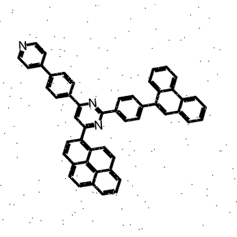 c1ccc2c(c1)cc(-c1ccc(-c3nc(-c4ccc(-c5ccncc5)cc4)cc(-c4ccc5ccc6cccc7ccc4c5c67)n3)cc1)c1ccccc12